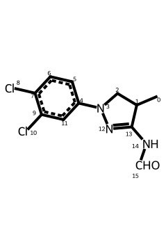 CC1CN(c2ccc(Cl)c(Cl)c2)N=C1NC=O